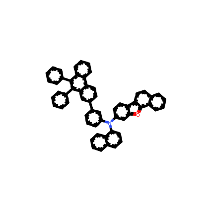 c1ccc(-c2c(-c3ccccc3)c3cc(-c4cccc(N(c5ccc6c(c5)oc5c7ccccc7ccc65)c5cccc6ccccc56)c4)ccc3c3ccccc23)cc1